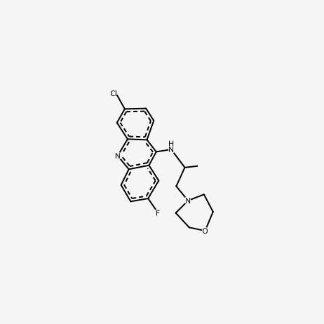 CC(CN1CCOCC1)Nc1c2ccc(Cl)cc2nc2ccc(F)cc12